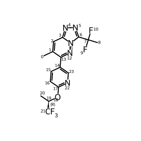 Cc1cc2nnc(C(C)(F)F)n2nc1-c1ccc(O[C@H](C)C(F)(F)F)nc1